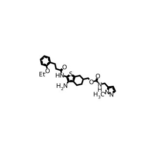 CCOc1ccccc1CCC(=O)Nc1sc2c(c1N)CCC(COC(=O)NCc1ccnn1C)C2